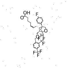 O=C(O)CCC/C=C\C[C@H]1[C@H](COCc2ccc(C(F)(F)F)cc2C(F)(F)F)[C@@H]2C[C@@]1(c1ccc(F)cc1)CO2